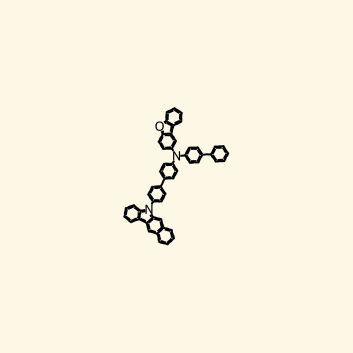 c1ccc(-c2ccc(N(c3ccc(-c4ccc(-n5c6ccccc6c6cc7ccccc7cc65)cc4)cc3)c3ccc4oc5ccccc5c4c3)cc2)cc1